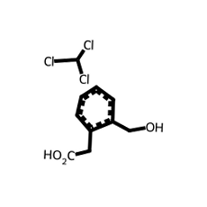 ClC(Cl)Cl.O=C(O)Cc1ccccc1CO